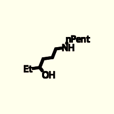 CCCCCNCCCC(O)CC